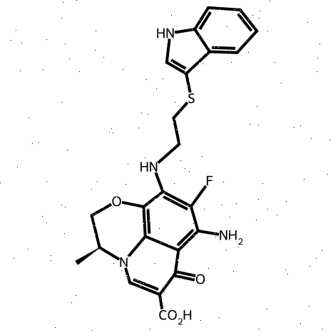 C[C@H]1COc2c(NCCSc3c[nH]c4ccccc34)c(F)c(N)c3c(=O)c(C(=O)O)cn1c23